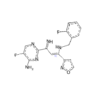 N=C(/C=C(\NCc1ccccc1F)c1ccon1)c1ncc(F)c(N)n1